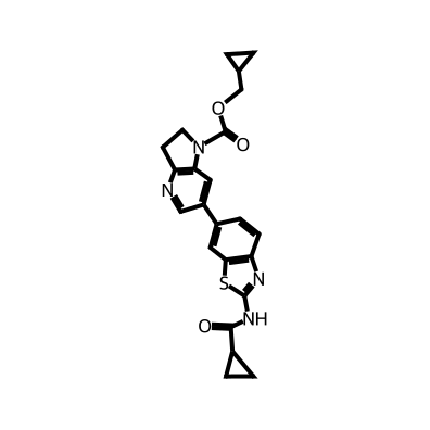 O=C(Nc1nc2ccc(-c3cnc4c(c3)N(C(=O)OCC3CC3)CC4)cc2s1)C1CC1